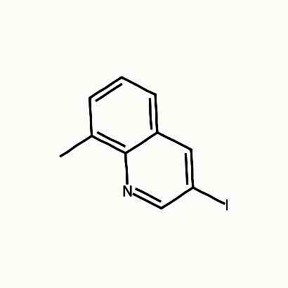 Cc1cccc2cc(I)cnc12